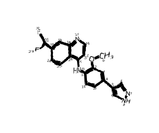 COc1cc(-c2cn[nH]c2)ccc1Nc1ccnc2cc(C(F)F)ccc12